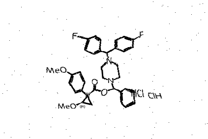 COc1ccc([C@]2(C(=O)OC(c3ccccc3)N3CCN(C(c4ccc(F)cc4)c4ccc(F)cc4)CC3)C[C@H]2OC)cc1.Cl.Cl